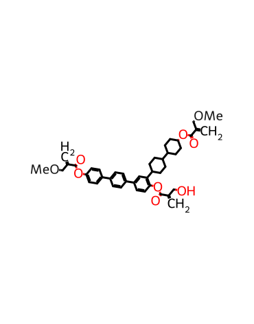 C=C(COC)C(=O)Oc1ccc(-c2ccc(-c3ccc(OC(=O)C(=C)CO)c(C4CCC(C5CCC(OC(=O)C(=C)COC)CC5)CC4)c3)cc2)cc1